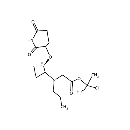 CCCN(CC(=O)OC(C)(C)C)C1CC[C@H]1OC1CCC(=O)NC1=O